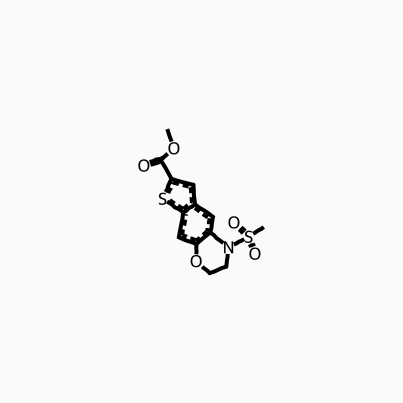 COC(=O)c1cc2cc3c(cc2s1)OCCN3S(C)(=O)=O